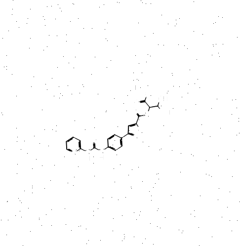 COC(=O)C(NC(=O)c1cc(-c2ccc(NC(=O)Nc3ccccn3)cc2)no1)C(C)C